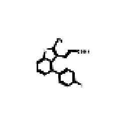 CC(C)c1oc2cccc(-c3ccc(F)cc3)c2c1C=CC=O